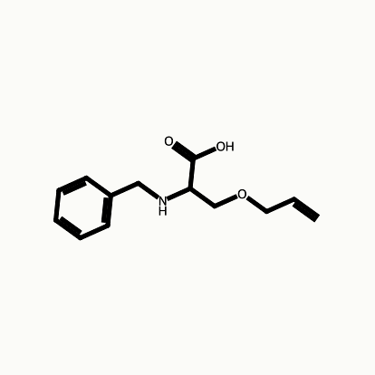 C=CCOCC(NCc1ccccc1)C(=O)O